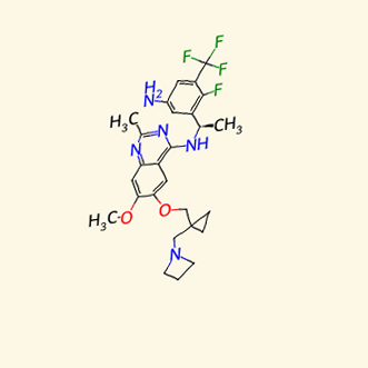 COc1cc2nc(C)nc(N[C@H](C)c3cc(N)cc(C(F)(F)F)c3F)c2cc1OCC1(CN2CCC2)CC1